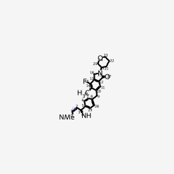 CN/C=C\C(=N)c1ccc(Cc2cc3c(c(F)c2C)CN(C2CCCOC2)C3=O)cc1